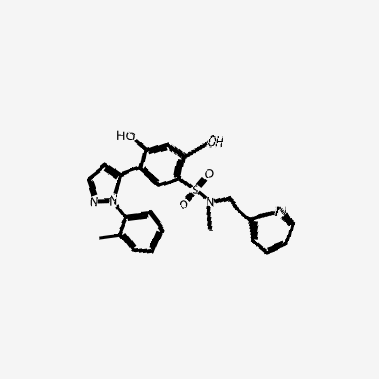 Cc1ccccc1-n1nccc1-c1cc(S(=O)(=O)N(C)Cc2ccccn2)c(O)cc1O